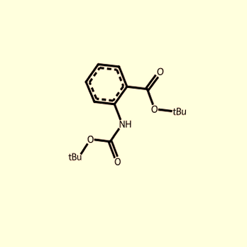 CC(C)(C)OC(=O)Nc1ccccc1C(=O)OC(C)(C)C